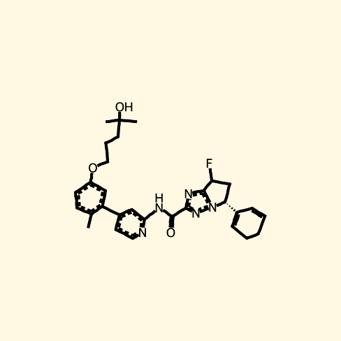 Cc1ccc(OCCCC(C)(C)O)cc1-c1ccnc(NC(=O)c2nc3n(n2)[C@@H](C2=CCCC=C2)CC3F)c1